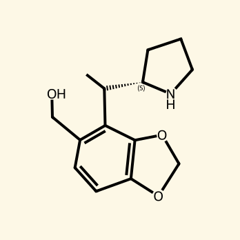 CC(c1c(CO)ccc2c1OCO2)[C@@H]1CCCN1